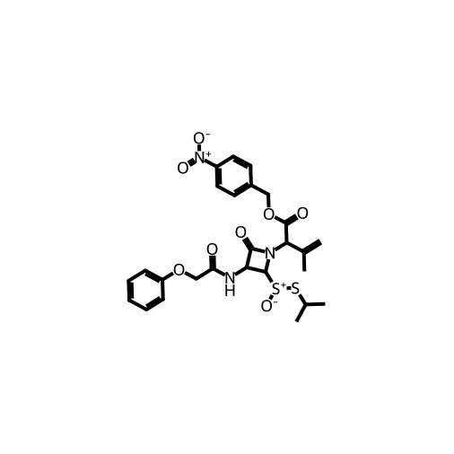 C=C(C)C(C(=O)OCc1ccc([N+](=O)[O-])cc1)N1C(=O)C(NC(=O)COc2ccccc2)C1[S+]([O-])SC(C)C